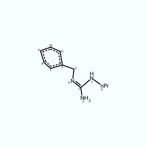 [CH2]CCNC(N)=NCc1ccccc1